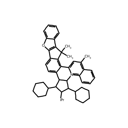 Cc1cc2[n+](c3ccccc13)C1C(c3ccc4c(c3-2)C(C)(C)c2c-4oc3ccccc23)C(C2CCCCC2)C(C(C)C)C1C1CCCCC1